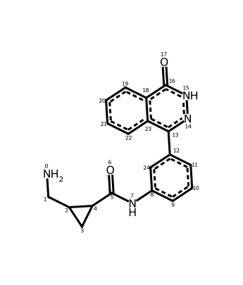 NCC1CC1C(=O)Nc1cccc(-c2n[nH]c(=O)c3ccccc23)c1